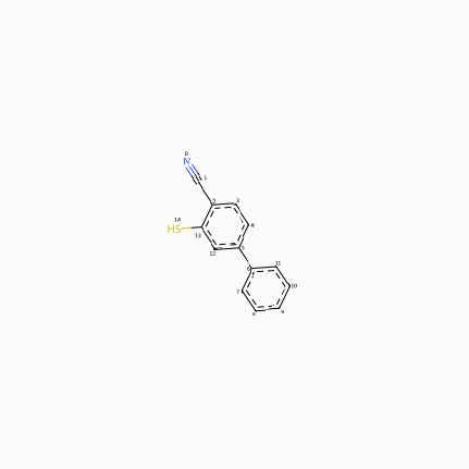 N#Cc1ccc(-c2ccccc2)cc1S